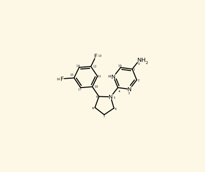 Nc1cnc(N2CCCC2c2cc(F)cc(F)c2)nc1